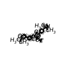 Cc1ncn(C)c1-c1ccc(NC(=O)[C@H](Cc2cc(-c3ccc(=O)n(C(C)C)c3)ccc2Cl)NC(=O)OC2CC2)cc1